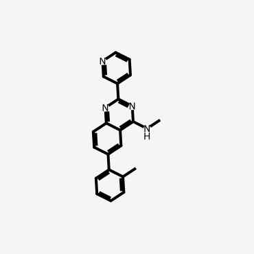 CNc1nc(-c2cccnc2)nc2ccc(-c3ccccc3C)cc12